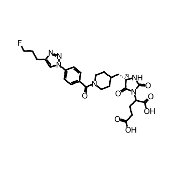 O=C(O)CCC(C(=O)O)N1C(=O)N[C@@H](CC2CCN(C(=O)c3ccc(-n4cc(CCCF)nn4)cc3)CC2)C1=O